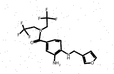 Nc1cc(C(=O)N(CC(F)(F)F)CC(F)(F)F)ccc1NCc1ccoc1